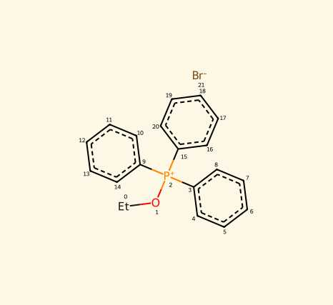 CCO[P+](c1ccccc1)(c1ccccc1)c1ccccc1.[Br-]